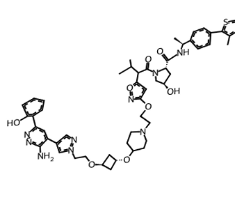 Cc1ncsc1-c1ccc([C@H](C)NC(=O)[C@@H]2C[C@@H](O)CN2C(=O)C(c2cc(OCCN3CCC(O[C@H]4C[C@H](OCCn5cc(-c6cc(-c7ccccc7O)nnc6N)cn5)C4)CC3)no2)C(C)C)cc1